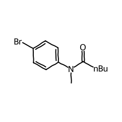 CCCCC(=O)N(C)c1ccc(Br)cc1